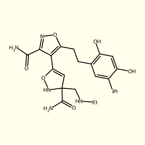 CCNCC1(C(N)=O)C=C(c2c(C(N)=O)noc2CCc2cc(C(C)C)c(O)cc2O)ON1